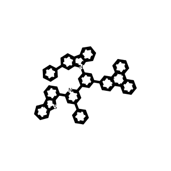 c1ccc(-c2cc(-c3cc(-c4ccc5c6ccccc6c6ccccc6c5c4)cc(-n4c5ccccc5c5ccc(-c6ccccc6)cc54)c3)nc(-c3cccc4c3sc3ccccc34)c2)cc1